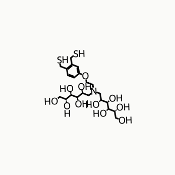 OC[C@@H](O)[C@@H](O)[C@H](O)[C@@H](O)CN(CCOc1ccc(CS)c(CS)c1)C[C@H](O)[C@@H](O)[C@H](O)[C@H](O)CO